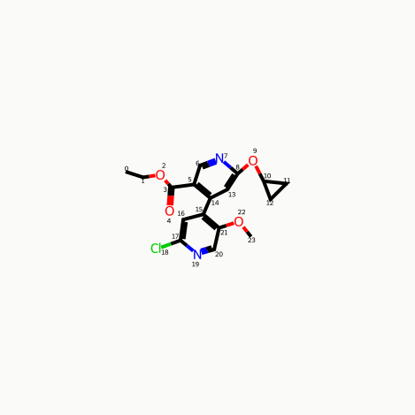 CCOC(=O)c1cnc(OC2CC2)cc1-c1cc(Cl)ncc1OC